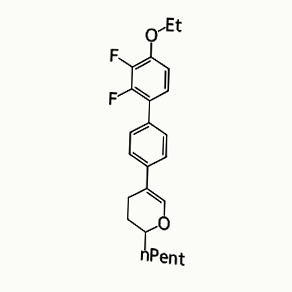 CCCCCC1CCC(c2ccc(-c3ccc(OCC)c(F)c3F)cc2)=CO1